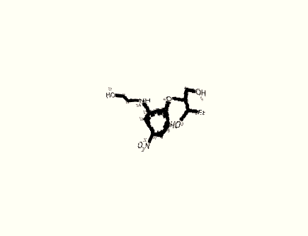 CCC(O)C(CO)Oc1ccc([N+](=O)[O-])cc1NCCO